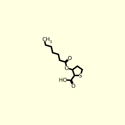 CCCCCCC(=O)OC1CCSC1C(=O)O